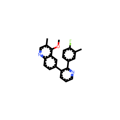 COc1c(C)cnc2ccc(-c3cccnc3-c3ccc(F)c(C)c3)cc12